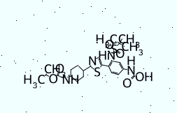 CC(C)OC(=O)NC1CCC(c2ncc(-c3ccc(NC(=O)O)cc3NS(=O)(=O)C(C)(C)C)s2)CC1